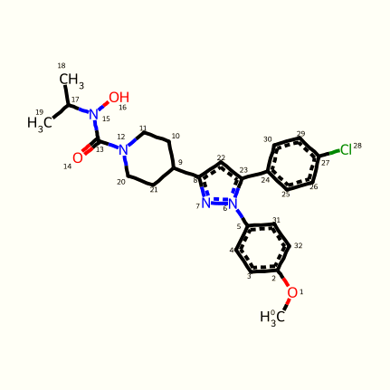 COc1ccc(-n2nc(C3CCN(C(=O)N(O)C(C)C)CC3)cc2-c2ccc(Cl)cc2)cc1